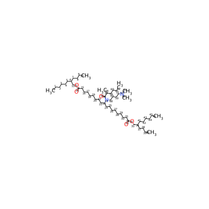 CCCCCCC(CCCC)COC(=O)CCCCCCCCC(CCCCCCCCC(=O)OC[C@H](CCCC)CCCCCC)N(CCCCN(C)C)C(=O)C(C)CCCC